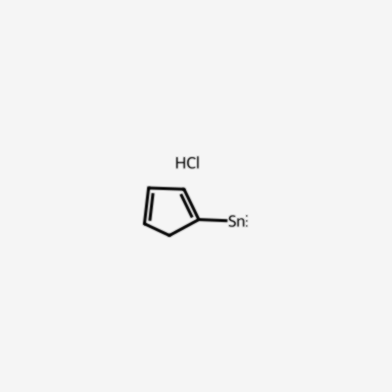 Cl.[Sn][C]1=CC=CC1